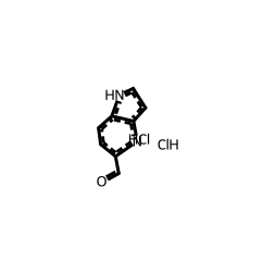 Cl.Cl.O=Cc1ccc2[nH]ccc2n1